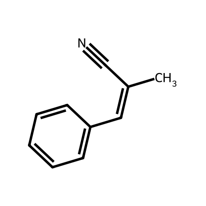 C/C(C#N)=C/c1ccccc1